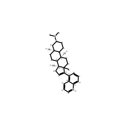 CN(C)[C@H]1CCC2[C@@H](CCC3[C@@H]2CCC2(C)C(c4cccc5ncccc45)=CC[C@@H]32)C1